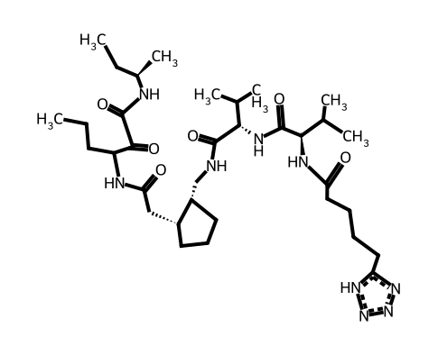 CCCC(NC(=O)C[C@H]1CCC[C@H]1CNC(=O)[C@@H](NC(=O)[C@H](NC(=O)CCCCc1nnn[nH]1)C(C)C)C(C)C)C(=O)C(=O)N[C@H](C)CC